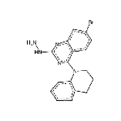 NNc1nc(N2CCCc3ccccc32)c2ccc(Br)cc2n1